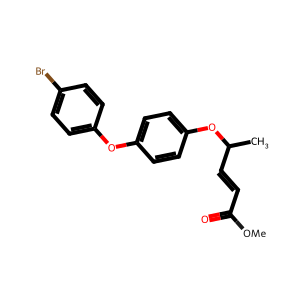 COC(=O)C=CC(C)Oc1ccc(Oc2ccc(Br)cc2)cc1